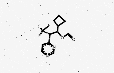 O=COC(C1CCC1)C(c1ccncn1)C(F)(F)F